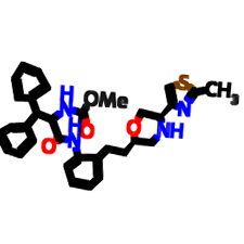 COC(=O)NC(C(=O)Nc1ccccc1CC[C@@H]1CN[C@H](c2csc(C)n2)CO1)C(c1ccccc1)c1ccccc1